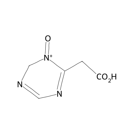 O=C(O)CC1=NC=NC[N+]1=O